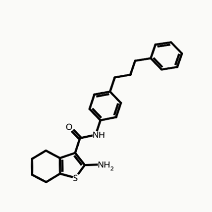 Nc1sc2c(c1C(=O)Nc1ccc(CCCc3ccccc3)cc1)CCCC2